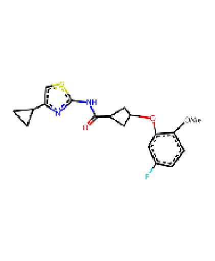 COc1ccc(F)cc1OC1CC(C(=O)Nc2nc(C3CC3)cs2)C1